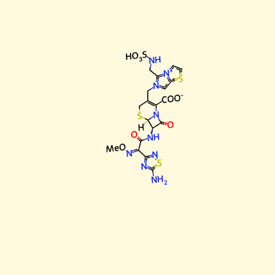 CO/N=C(\C(=O)N[C@@H]1C(=O)N2C(C(=O)[O-])=C(Cn3cc4scc[n+]4c3CNS(=O)(=O)O)CS[C@H]12)c1nsc(N)n1